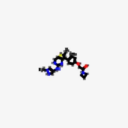 COc1cc(OCC(=O)N2CCC2)ccc1-c1c(C)sc2cnc(Nc3cnn(C)c3)nc12